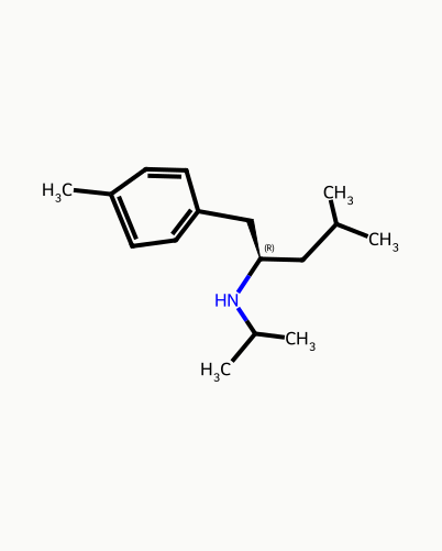 Cc1ccc(C[C@@H](CC(C)C)NC(C)C)cc1